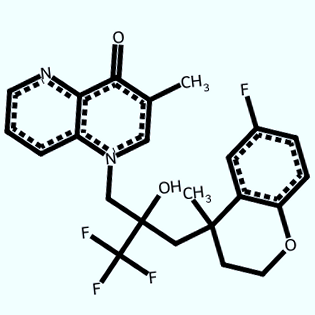 Cc1cn(CC(O)(CC2(C)CCOc3ccc(F)cc32)C(F)(F)F)c2cccnc2c1=O